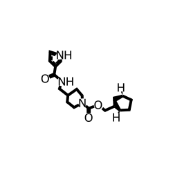 O=C(NCC1CCN(C(=O)OCC2C[C@H]3CC[C@@H]2C3)CC1)c1cc[nH]c1